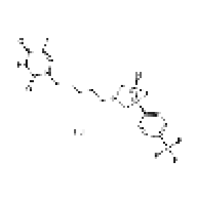 Cc1cn(CCCCCN2C[C@@H]3C[C@]3(c3ccc(C(F)(F)F)cc3)C2)c(=O)[nH]c1=O.Cl